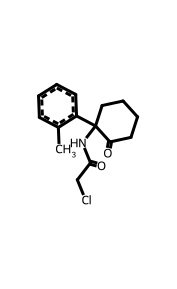 Cc1ccccc1C1(NC(=O)CCl)CCCCC1=O